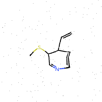 C=CC1C=CN=CC1SC